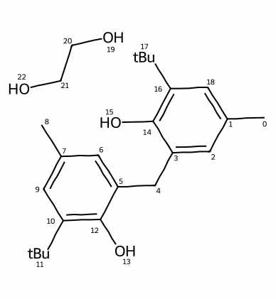 Cc1cc(Cc2cc(C)cc(C(C)(C)C)c2O)c(O)c(C(C)(C)C)c1.OCCO